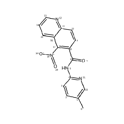 Cc1ccc(NC(=O)c2ccc3ncccc3c2[N+](=O)[O-])nc1